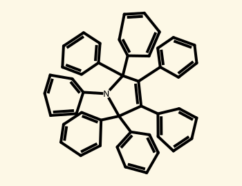 c1ccc(C2=C(c3ccccc3)C(c3ccccc3)(c3ccccc3)N(c3ccccc3)C2(c2ccccc2)c2ccccc2)cc1